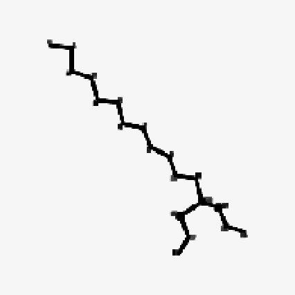 CCCCCCCCCCCCN(OCC)OCC